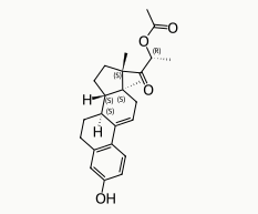 CC(=O)O[C@H](C)C(=O)[C@@]1(C)CC[C@H]2[C@@H]3CCc4cc(O)ccc4C3=CC[C@@]21C